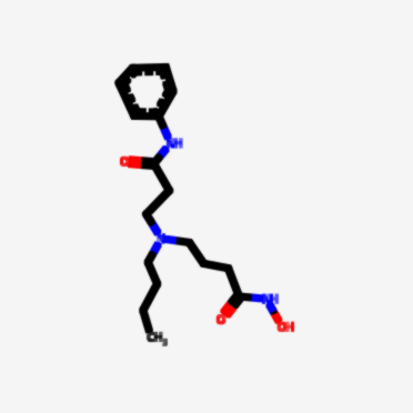 CCCCN(CCCC(=O)NO)CCC(=O)Nc1ccccc1